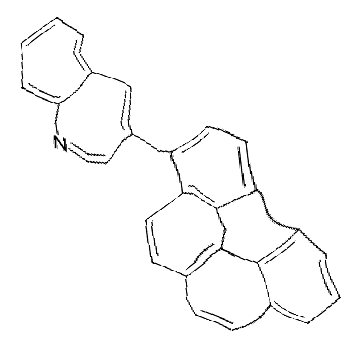 c1ccc2ncc(-c3ccc4c5c3ccc3ccc6cccc-4c6c35)cc2c1